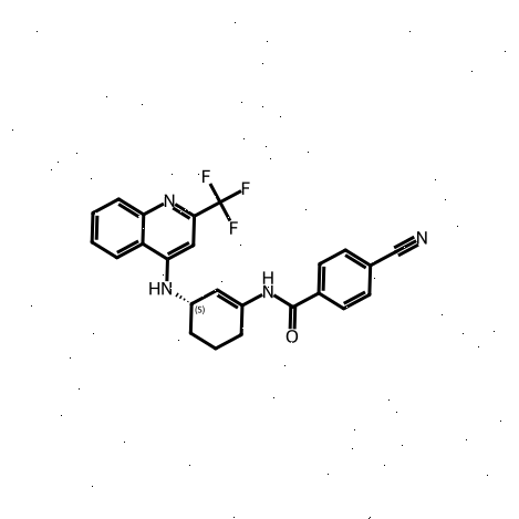 N#Cc1ccc(C(=O)NC2=C[C@@H](Nc3cc(C(F)(F)F)nc4ccccc34)CCC2)cc1